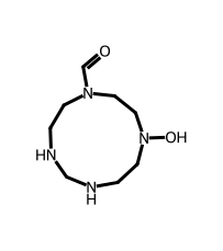 O=CN1CCNCNCCN(O)CC1